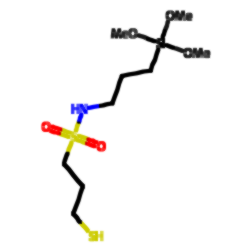 CO[Si](CCCNS(=O)(=O)CCCS)(OC)OC